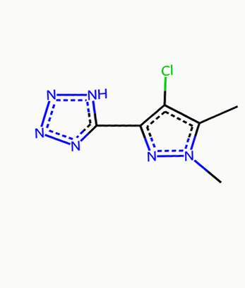 Cc1c(Cl)c(-c2nnn[nH]2)nn1C